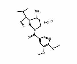 COc1cc(C(=O)N2CCC(N)c3c2cnn3C(C)C)cnc1OC.Cl.Cl